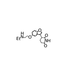 CCNCCOc1ccc2occ(C3CCC(=O)NC3=O)c2c1